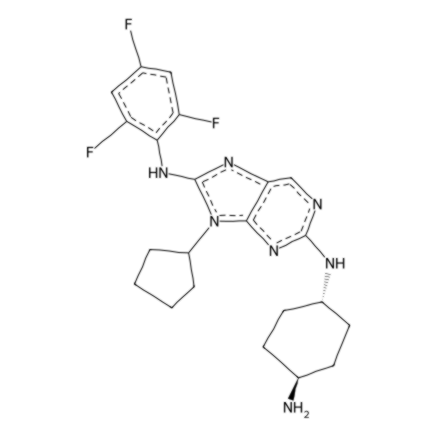 N[C@H]1CC[C@H](Nc2ncc3nc(Nc4c(F)cc(F)cc4F)n(C4CCCC4)c3n2)CC1